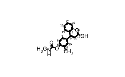 CNC(=O)Oc1ccc(C(=CC(=O)O)c2ccccc2)cc1C